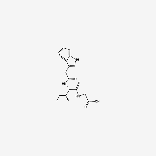 CC[C@H](C)[C@H](NC(=O)Cc1c[nH]c2ccccc12)C(=O)NCC(=O)O